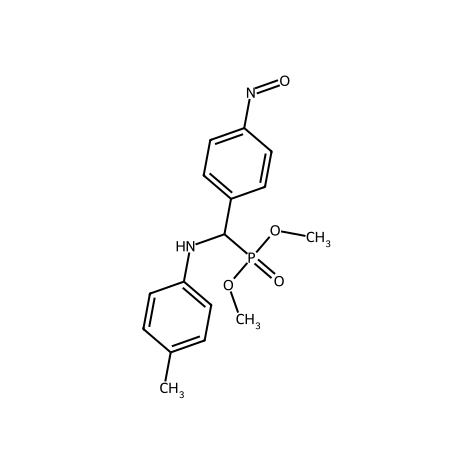 COP(=O)(OC)C(Nc1ccc(C)cc1)c1ccc(N=O)cc1